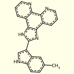 Cc1ccc2[nH]cc(-c3nc4c5cccnc5c5ncccc5c4[nH]3)c2c1